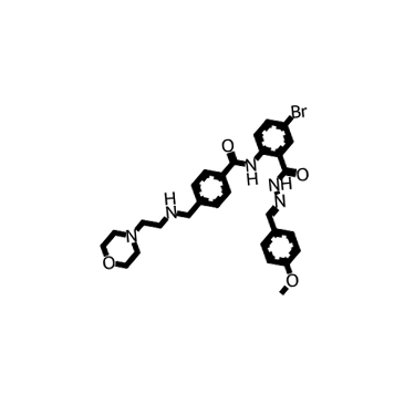 COc1ccc(/C=N/NC(=O)c2cc(Br)ccc2NC(=O)c2ccc(CNCCN3CCOCC3)cc2)cc1